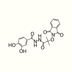 CC(C)(ON1C(=O)c2ccccc2C1=O)C(=O)NNC(=O)c1ccc(O)c(O)c1